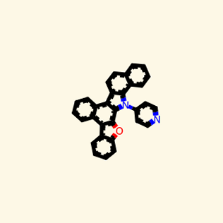 c1ccc2c(c1)ccc1c3c4ccccc4c4c5ccccc5oc4c3n(-c3ccncc3)c21